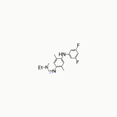 CCN(C)/C=N\c1cc(C)c(Nc2cc(F)cc(F)c2)cc1C